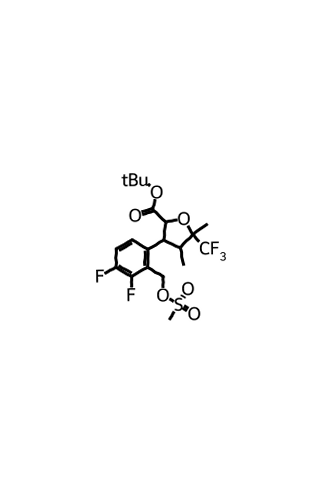 CC1C(c2ccc(F)c(F)c2COS(C)(=O)=O)C(C(=O)OC(C)(C)C)OC1(C)C(F)(F)F